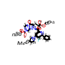 CCCCOC(=O)N1CCN(C(=O)[C@H](CCC(=O)OC(C)(C)C)NC(=O)c2cc(N3CCC(OC)C3)c(F)c(-c3ccccc3)n2)CC1